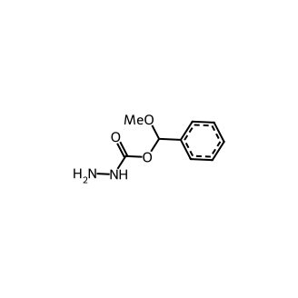 COC(OC(=O)NN)c1ccccc1